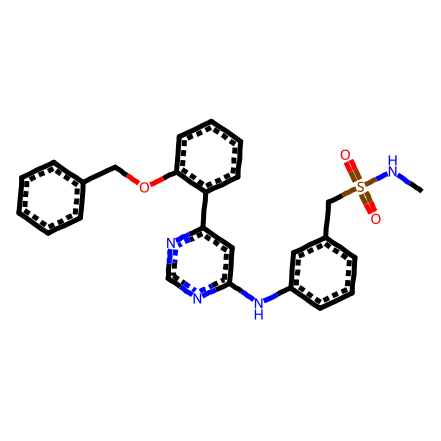 CNS(=O)(=O)Cc1cccc(Nc2cc(-c3ccccc3OCc3ccccc3)ncn2)c1